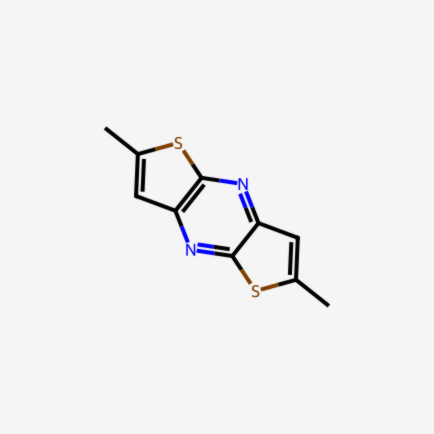 Cc1cc2nc3sc(C)cc3nc2s1